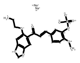 CCCOc1cc2c(cc1C(=O)/C=C/c1ccc(OC)c(OP(=O)([O-])[O-])c1)OCS2.[Na+].[Na+]